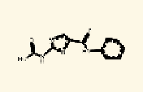 O=C(O)Nc1nc(C(=O)Nc2ccccc2)cs1